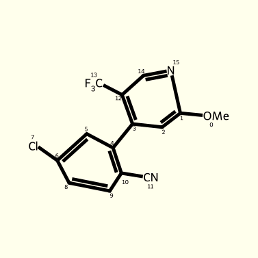 COc1cc(-c2cc(Cl)ccc2C#N)c(C(F)(F)F)cn1